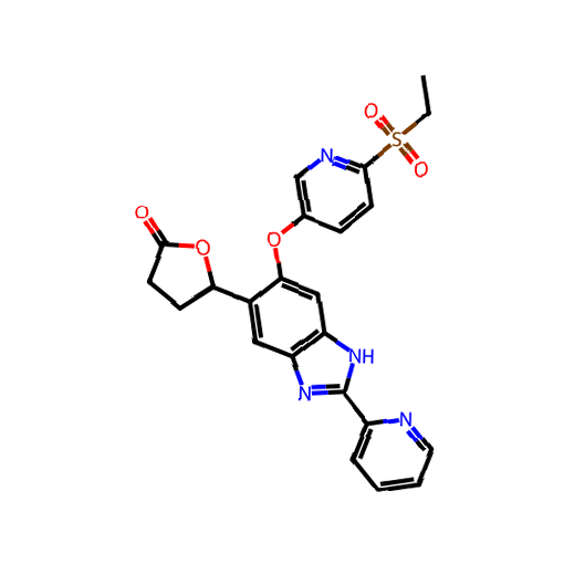 CCS(=O)(=O)c1ccc(Oc2cc3[nH]c(-c4ccccn4)nc3cc2C2CCC(=O)O2)cn1